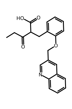 CCC(=O)C(Cc1ccccc1OCc1cnc2ccccc2c1)C(=O)O